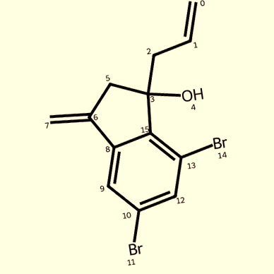 C=CCC1(O)CC(=C)c2cc(Br)cc(Br)c21